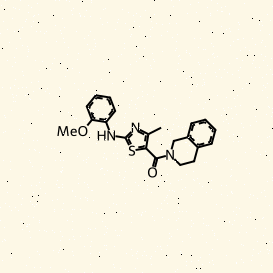 COc1ccccc1Nc1nc(C)c(C(=O)N2CCc3ccccc3C2)s1